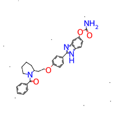 NC(=O)Oc1ccc2[nH]c(-c3ccc(OCCC4CCCCN4C(=O)c4ccccc4)cc3)nc2c1